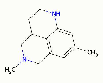 Cc1cc2c3c(c1)NCCC3CN(C)C2